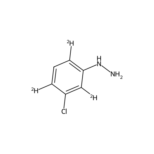 [2H]c1cc([2H])c(NN)c([2H])c1Cl